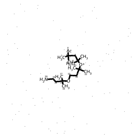 CC(=O)C(C)(C)CC(C)(C)OC(C)(C)CCOC(C)(C)CCN